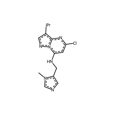 CC(C)c1cnn2c(NCc3cncn3C)cc(Cl)nc12